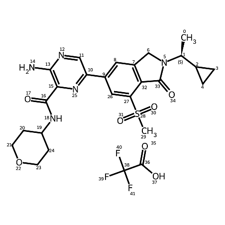 C[C@@H](C1CC1)N1Cc2cc(-c3cnc(N)c(C(=O)NC4CCOCC4)n3)cc(S(C)(=O)=O)c2C1=O.O=C(O)C(F)(F)F